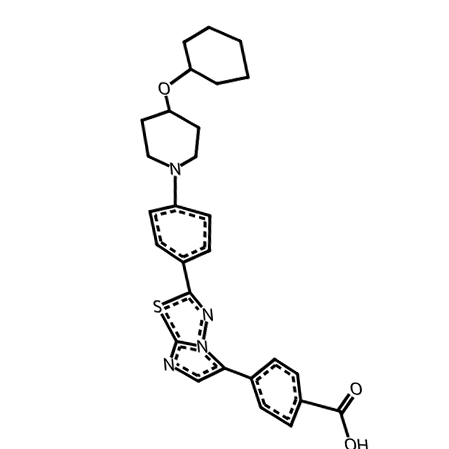 O=C(O)c1ccc(-c2cnc3sc(-c4ccc(N5CCC(OC6CCCCC6)CC5)cc4)nn23)cc1